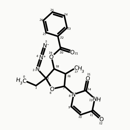 CCC1(N=[N+]=[N-])OC(n2ccc(=O)[nH]c2=O)C(C)C1OC(=O)c1ccccc1